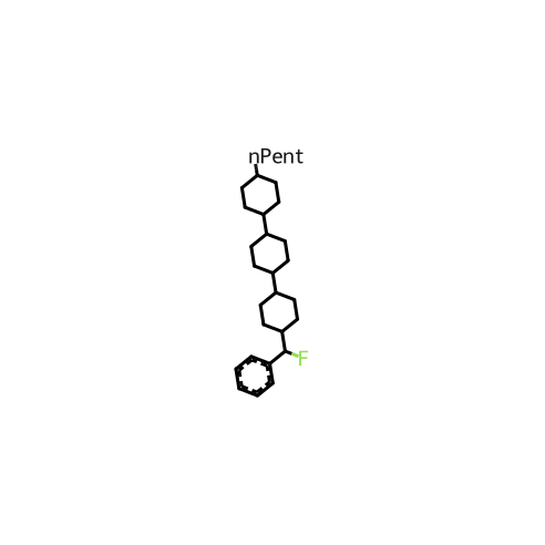 CCCCCC1CCC(C2CCC(C3CCC(C(F)c4ccccc4)CC3)CC2)CC1